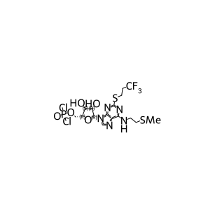 CSCCNc1nc(SCCC(F)(F)F)nc2c1ncn2[C@@H]1O[C@H](COP(=O)(Cl)Cl)[C@@H](O)[C@H]1O